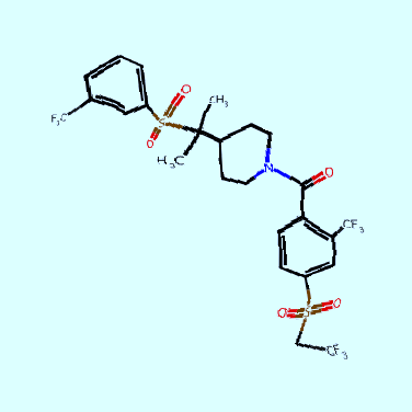 CC(C)(C1CCN(C(=O)c2ccc(S(=O)(=O)CC(F)(F)F)cc2C(F)(F)F)CC1)S(=O)(=O)c1cccc(C(F)(F)F)c1